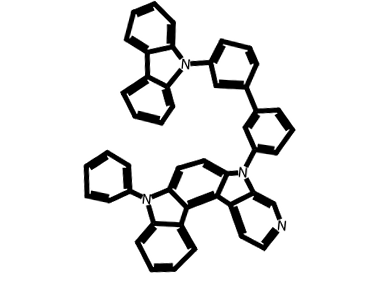 c1ccc(-n2c3ccccc3c3c4c5ccncc5n(-c5cccc(-c6cccc(-n7c8ccccc8c8ccccc87)c6)c5)c4ccc32)cc1